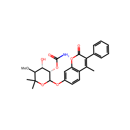 COC1[C@H](O)[C@H](OC(N)=O)C(Oc2ccc3c(C)c(-c4ccccc4)c(=O)oc3c2)OC1(C)C